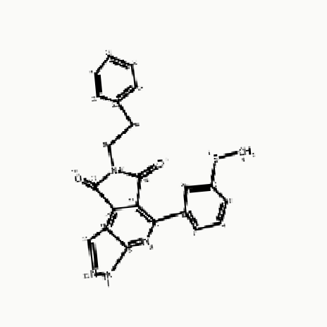 CSc1cccc(-c2nc3[nH]ncc3c3c2C(=O)N(CCc2ccccc2)C3=O)c1